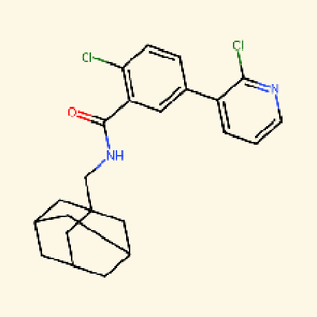 O=C(NCC12CC3CC(CC(C3)C1)C2)c1cc(-c2cccnc2Cl)ccc1Cl